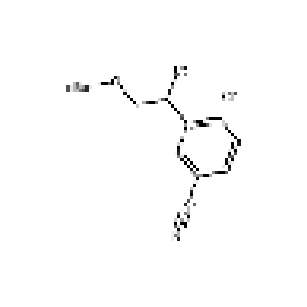 CCCCOCC(CC)c1cccc([N+]#N)c1.[Cl-]